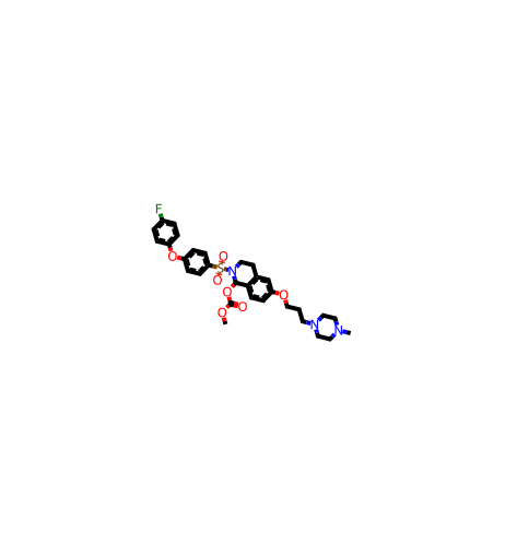 COC(=O)OC1c2ccc(OCCCN3CCN(C)CC3)cc2CCN1S(=O)(=O)c1ccc(Oc2ccc(F)cc2)cc1